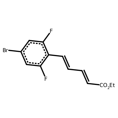 CCOC(=O)/C=C/C=Cc1c(F)cc(Br)cc1F